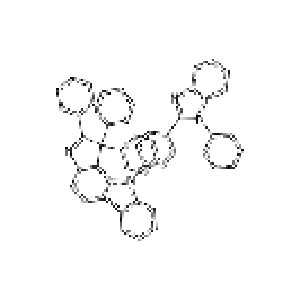 c1ccc(C2=Nc3ccc4c5ccccc5n(-c5ccc(-c6nc7ccccc7n6-c6ccccc6)cc5)c4c3C2(c2ccccc2)c2ccccc2)cc1